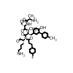 Cc1ccc(-c2cc(C[C@@H](C(=O)N(C(=O)CCc3ccc(F)cc3)[C@@H]([C]=O)CCCCN)N(C)C(=O)[C@H](CO)NC(=O)[C@H](C)N)ccc2O)cc1